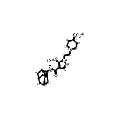 CC(C)COc1c(C(=O)NC2C3CC4CC(C3)CC2C4)cnn1CCN1CCC(C(=O)O)CC1